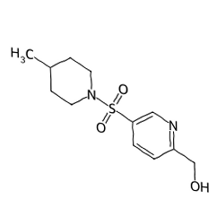 CC1CCN(S(=O)(=O)c2ccc(CO)nc2)CC1